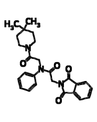 CC1(C)CCN(C(=O)CN(C(=O)CN2C(=O)c3ccccc3C2=O)c2ccccc2)CC1